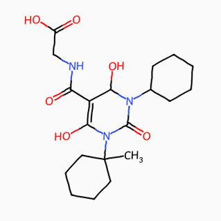 CC1(N2C(=O)N(C3CCCCC3)C(O)C(C(=O)NCC(=O)O)=C2O)CCCCC1